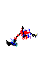 Cc1ncsc1-c1ccc(CNC(=O)[C@@H]2C[C@@H](O)CN2C(=O)[C@@H](NC(=O)C2(OCCCOCCCOc3cc(F)c([C@@H]4c5[nH]c6ccccc6c5C[C@@H](C)N4CC(C)(C)F)c(F)c3)CC2)C(C)(C)C)cc1